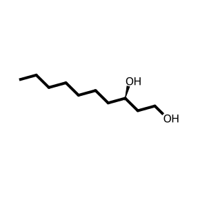 CCCCCCC[C@@H](O)CCO